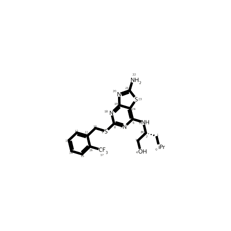 CC(C)C[C@H](CO)Nc1nc(SCc2ccccc2C(F)(F)F)nc2nc(N)sc12